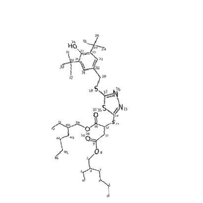 CCCCC(CC)COC(=O)CC(Sc1nnc(SCc2cc(C(C)(C)C)c(O)c(C(C)(C)C)c2)s1)C(=O)OCC(CC)CCCC